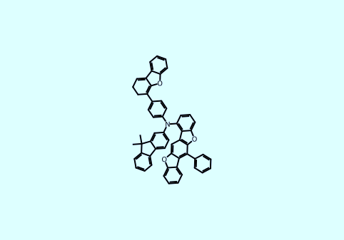 CC1(C)c2ccccc2-c2ccc(N(c3ccc(C4=c5oc6ccccc6c5=CCC4)cc3)c3cccc4oc5c(-c6ccccc6)c6c(cc5c34)oc3ccccc36)cc21